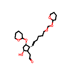 O=CCC1[C@@H](C=CCCCCOCOC2CCCCO2)[C@H](OC2CCCCO2)C[C@@H]1O